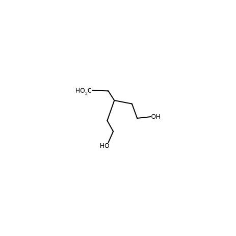 O=C(O)CC(CCO)CCO